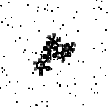 CC(C)(C)[C@H](NC(=O)C(F)(F)F)C(=O)N1C[C@H]2[C@@H]([C@H]1C(=O)NNC[C@@H]1CCCNC1=O)C2(C)C